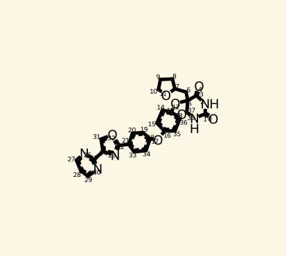 O=C1NC(=O)C(CC2CCCO2)(Oc2ccc(Oc3ccc(-c4nc(-c5ncccn5)co4)cc3)cc2)C(=O)N1